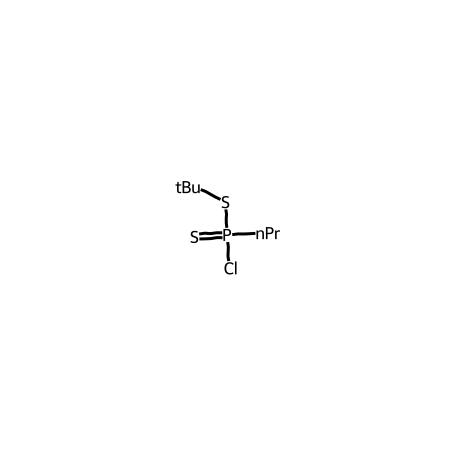 CCCP(=S)(Cl)SC(C)(C)C